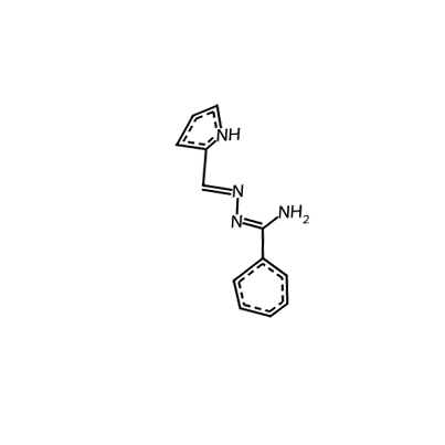 N/C(=N\N=C\c1ccc[nH]1)c1ccccc1